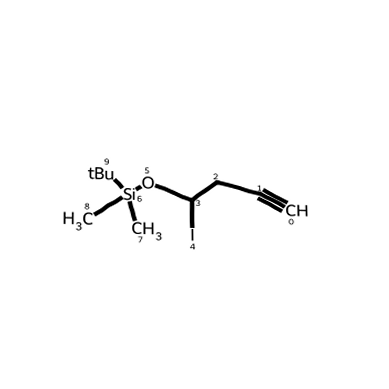 C#CCC(I)O[Si](C)(C)C(C)(C)C